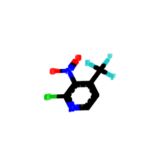 O=[N+]([O-])c1c(C(F)(F)F)ccnc1Cl